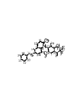 C=C(C1=CC(OC)=C(n2c(=O)ccc3cc(SCc4ccccc4)ccc32)C(C)C1Cl)C(F)(F)F